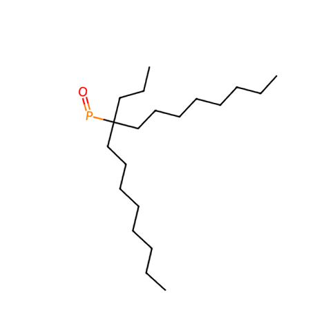 CCCCCCCCC(CCC)(CCCCCCCC)P=O